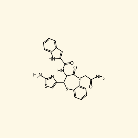 NC(=O)CN1C(=O)C(NC(=O)c2cc3ccccc3[nH]2)C(c2csc(N)n2)Sc2ccccc21